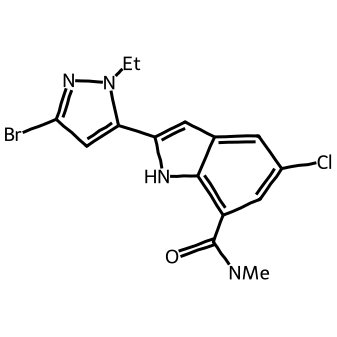 CCn1nc(Br)cc1-c1cc2cc(Cl)cc(C(=O)NC)c2[nH]1